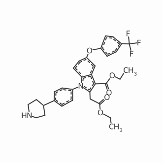 CCOC(=O)Cc1c(C(=O)OCC)c2cc(Oc3ccc(C(F)(F)F)cc3)ccc2n1-c1ccc(C2CCNCC2)cc1